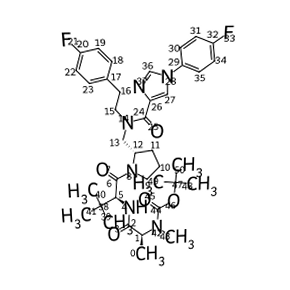 C[C@@H](C(=O)N[C@H](C(=O)N1CCC[C@H]1CN(CCc1ccc(F)cc1)C(=O)c1cn(-c2ccc(F)cc2)cn1)C(C)(C)C)N(C)C(=O)OC(C)(C)C